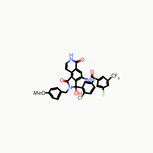 COc1ccc(CN2C(=O)c3c(c(NC(=O)c4cc(F)cc(C(F)(F)F)c4)cc4c(=O)[nH]ccc34)C2(O)c2cc(F)ccc2Cl)cc1